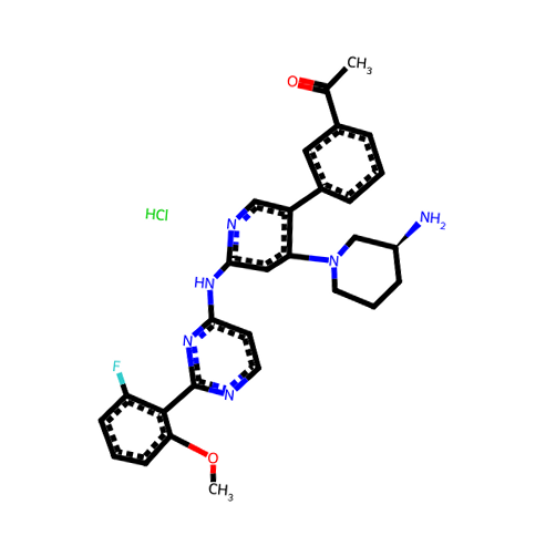 COc1cccc(F)c1-c1nccc(Nc2cc(N3CCC[C@H](N)C3)c(-c3cccc(C(C)=O)c3)cn2)n1.Cl